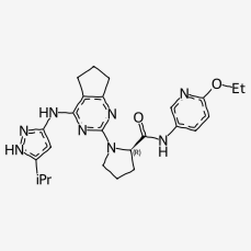 CCOc1ccc(NC(=O)[C@H]2CCCN2c2nc3c(c(Nc4cc(C(C)C)[nH]n4)n2)CCC3)cn1